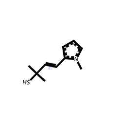 Cn1cccc1/C=C/C(C)(C)S